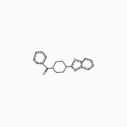 O=C(c1ccccc1)N1CCC(c2nc3ccccc3s2)CC1